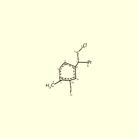 Cc1ccc(C(SCl)C(C)C)cc1F